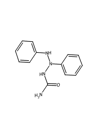 NC(=O)NN(Nc1ccccc1)c1ccccc1